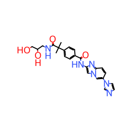 CC(C)(C(=O)NCC(O)CO)c1ccc(C(=O)Nc2cn3cc(-n4ccnc4)ccc3n2)cc1